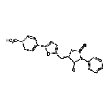 O=C(O)C1C=CC(c2ccc(/C=C3\SC(=O)N(c4ccccc4)C3=O)o2)=CC1